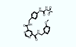 COc1cccc(CNC(=O)c2cc(C(=O)NCc3ccc(NC(=O)NS(C)(=O)=O)cc3)ncn2)c1